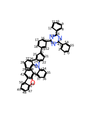 c1ccc(-c2nc(-c3ccccc3)nc(-c3cccc(-c4ccc5c(c4)c4ccccc4n5-c4ccccc4-c4cccc5c4oc4ccccc45)c3)n2)cc1